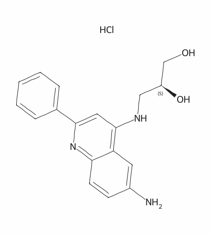 Cl.Nc1ccc2nc(-c3ccccc3)cc(NC[C@H](O)CO)c2c1